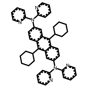 c1ccc(N(c2ccc3c(C4CCCCC4)c4cc(N(c5ccccn5)c5ccccn5)ccc4c(C4CCCCC4)c3c2)c2ccccn2)nc1